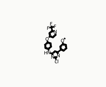 COc1cccc(-c2cc(Nc3ccc(Oc4ccnc(C(F)(F)F)c4)cc3)nc(Cl)n2)c1